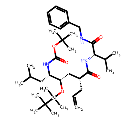 C=CC[C@H](C[C@H](O[Si](C)(C)C(C)(C)C)[C@H](CC(C)C)NC(=O)OC(C)(C)C)C(=O)N[C@H](C(=O)NCc1ccccc1)C(C)C